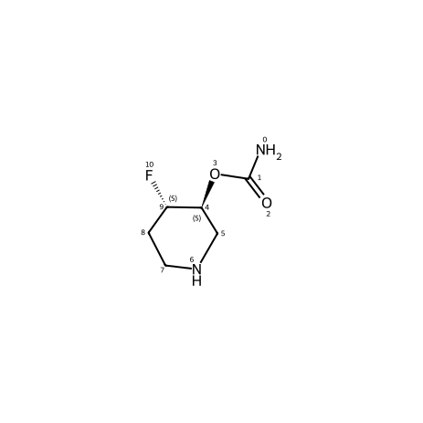 NC(=O)O[C@H]1CNCC[C@@H]1F